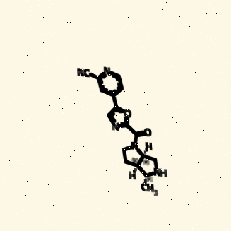 C[C@H]1NC[C@H]2[C@@H]1CCN2C(=O)c1ncc(-c2ccnc(C#N)c2)o1